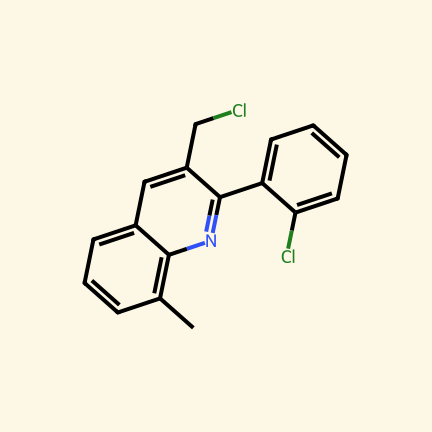 Cc1cccc2cc(CCl)c(-c3ccccc3Cl)nc12